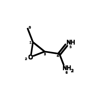 CC1OC1C(=N)N